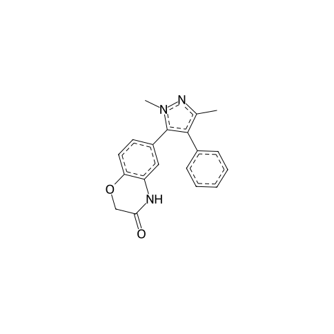 Cc1nn(C)c(-c2ccc3c(c2)NC(=O)CO3)c1-c1ccccc1